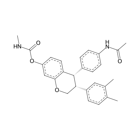 CNC(=O)Oc1ccc2c(c1)OC[C@@H](c1ccc(C)c(C)c1)[C@H]2c1ccc(NC(C)=O)cc1